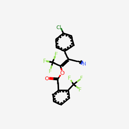 N#CC(=C(OC(=O)c1ccccc1C(F)(F)F)C(F)(F)F)c1ccc(Cl)cc1